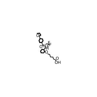 [2H]C(c1ccccc1OCCCCCC(=O)O)N(CC(F)(F)F)C(=O)c1ccc(-c2ccco2)cc1